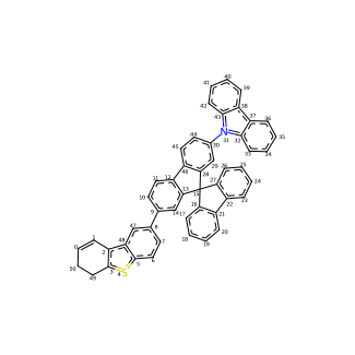 C1=Cc2c(sc3ccc(-c4ccc5c(c4)C4(c6ccccc6-c6ccccc64)c4cc(-n6c7ccccc7c7ccccc76)ccc4-5)cc23)CC1